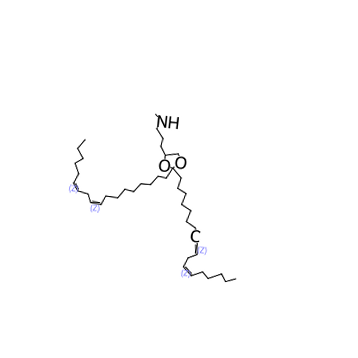 CCCCC/C=C\C/C=C\CCCCCCCCC1(CCCCCCCC/C=C\C/C=C\CCCCC)OCC(CCCNC)O1